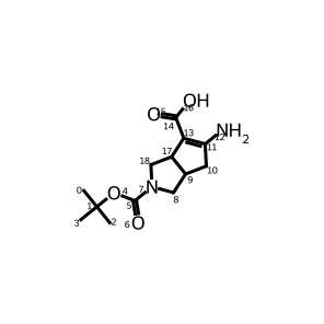 CC(C)(C)OC(=O)N1CC2CC(N)=C(C(=O)O)C2C1